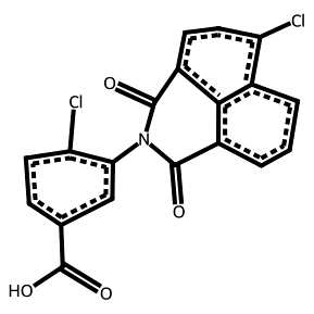 O=C(O)c1ccc(Cl)c(N2C(=O)c3cccc4c(Cl)ccc(c34)C2=O)c1